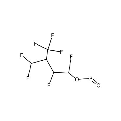 O=POC(F)C(F)C(C(F)F)C(F)(F)F